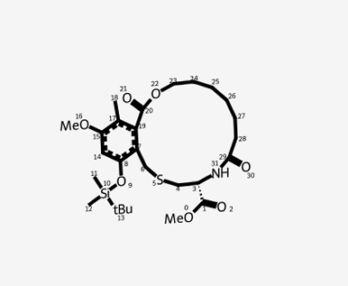 COC(=O)[C@@H]1CSCc2c(O[Si](C)(C)C(C)(C)C)cc(OC)c(C)c2C(=O)OCCCCCCC(=O)N1